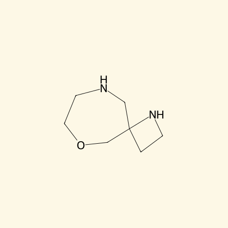 C1COCC2(CCN2)CN1